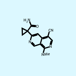 CNc1ncc(C#N)c2cc(C3(C(N)=O)CC3)ncc12